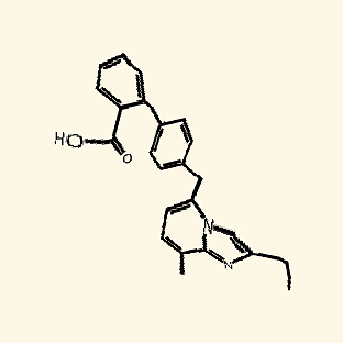 CCc1cn2c(Cc3ccc(-c4ccccc4C(=O)O)cc3)ccc(C)c2n1